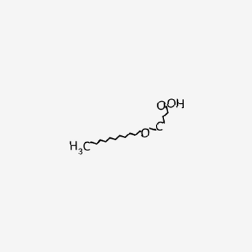 CCCCCCCCCCCCOCC=C=CCCC(=O)O